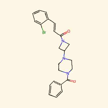 O=C(/C=C/c1ccccc1Br)N1CC(N2CCN(C(=O)c3ccccc3)CC2)C1